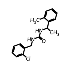 Cc1ccccc1C(C)NC(=O)NCc1ccccc1Cl